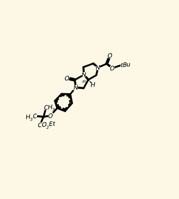 CCOC(=O)C(C)(C)Oc1ccc(N2C[C@@H]3CN(C(=O)OC(C)(C)C)CCN3C2=O)cc1